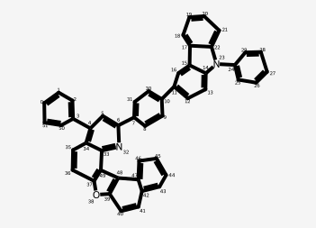 c1ccc(-c2cc(-c3ccc(-c4ccc5c(c4)c4ccccc4n5-c4ccccc4)cc3)nc3c2ccc2oc4ccc5ccccc5c4c23)cc1